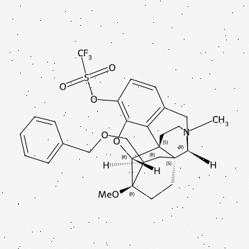 CO[C@]12CC[C@@]3(C[C@@H]1COCc1ccccc1)[C@H]1Cc4ccc(OS(=O)(=O)C(F)(F)F)c5c4[C@@]3(CCN1C)[C@H]2O5